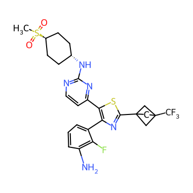 CS(=O)(=O)[C@H]1CC[C@H](Nc2nccc(-c3sc(C45CC(C(F)(F)F)(C4)C5)nc3-c3cccc(N)c3F)n2)CC1